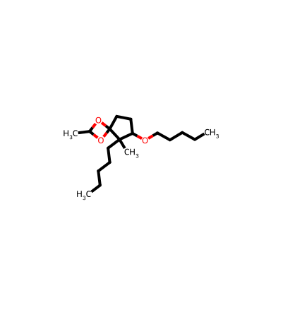 CCCCCOC1CCC2(OC(C)O2)C1(C)CCCCC